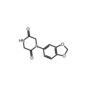 O=C1CN(c2ccc3c(c2)OCO3)C(=O)CN1